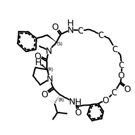 CC(C)C[C@H]1NC(=O)c2ccccc2OCC(=O)OCCCCCCCNC(=O)[C@H](Cc2ccccc2)N(C)C(=O)[C@H]2CCCN2C1=O